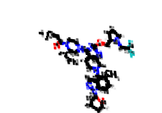 C=CC(=O)N1CCN(c2nc(OCC3CCCN3CC(F)F)nc3c2CCN(c2c(C)ccc4c2cnn4C2CCCCO2)C3)C[C@@H]1CC#N